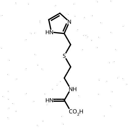 N=C(NCCSCc1ncc[nH]1)C(=O)O